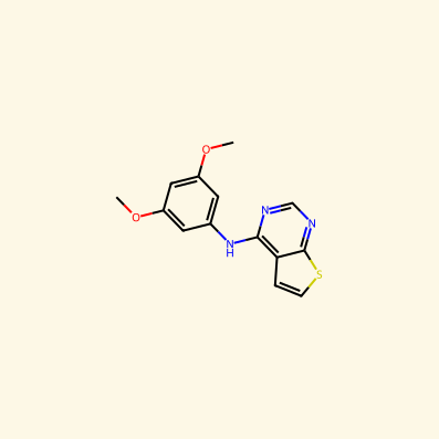 COc1cc(Nc2ncnc3sccc23)cc(OC)c1